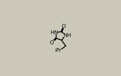 CC(C)CC1NC(=O)NC1=O